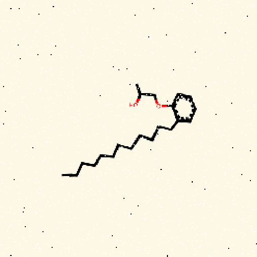 [CH2]C(O)COc1ccccc1CCCCCCCCCCCC